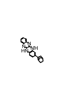 c1ccc2nc3c(nc2c1)Nc1ccc(C2CC4CCC2C4)cc1N3